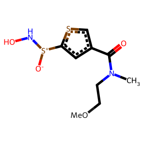 COCCN(C)C(=O)c1csc([S+]([O-])NO)c1